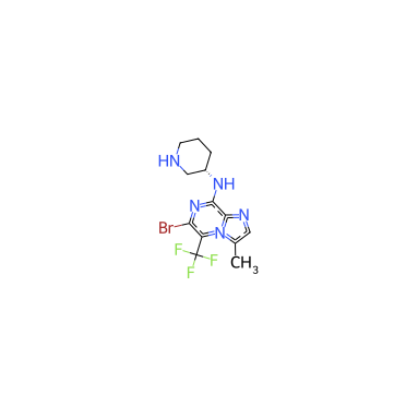 Cc1cnc2c(N[C@H]3CCCNC3)nc(Br)c(C(F)(F)F)n12